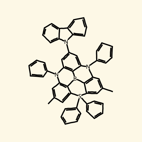 Cc1cc2c3c(c1)S(c1ccccc1)(c1ccccc1)c1cc(C)cc4c1B3c1c(cc(-n3c5ccccc5c5ccccc53)cc1N4c1ccccc1)N2c1ccccc1